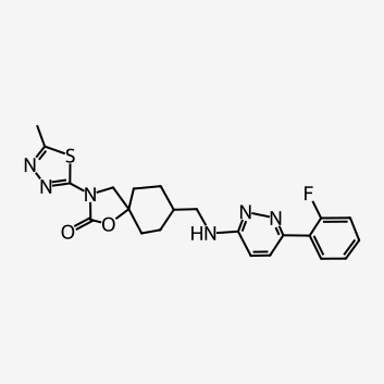 Cc1nnc(N2CC3(CCC(CNc4ccc(-c5ccccc5F)nn4)CC3)OC2=O)s1